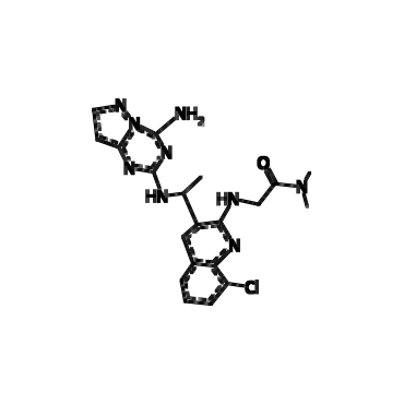 CC(Nc1nc(N)n2nccc2n1)c1cc2cccc(Cl)c2nc1NCC(=O)N(C)C